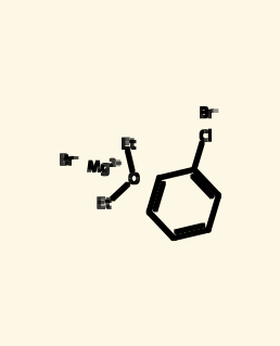 CCOCC.Clc1ccccc1.[Br-].[Br-].[Mg+2]